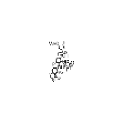 COC1CN(S(=O)(=O)Nc2ccc(F)c(Nc3ccc4ncn(C)c(=O)c4c3Br)c2Cl)CC1F.O=C(O)C(F)(F)F